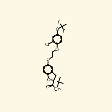 CC(F)(F)Oc1ccc(OCCOc2ccc3c(c2)C[C@](C(=O)O)(C(C)(C)C)O3)c(Cl)c1